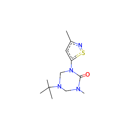 Cc1cc(N2CN(C(C)(C)C)CN(C)C2=O)sn1